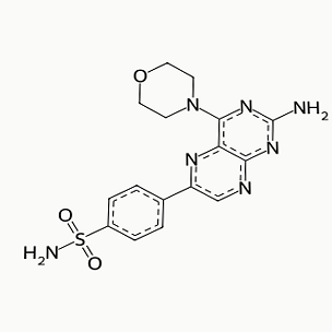 Nc1nc(N2CCOCC2)c2nc(-c3ccc(S(N)(=O)=O)cc3)cnc2n1